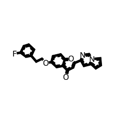 O=c1cc(-c2cc3cccn3cn2)oc2ccc(OCCc3cccc(F)c3)cc12